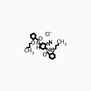 CCCCOc1ccccc1C(=O)Nc1ccc(NC(=O)c2ccccc2OCCCC)c([N+]#N)c1.[Cl-]